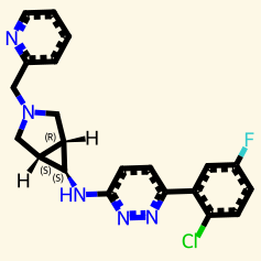 Fc1ccc(Cl)c(-c2ccc(N[C@H]3[C@@H]4CN(Cc5ccccn5)C[C@@H]43)nn2)c1